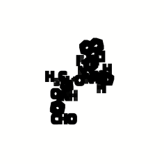 CN1C[C@H](NC(=O)c2ccc(C=O)cc2)C[C@H]1COc1nc(N2C[C@H]3CC[C@@H](C2)N3)c2cnc(-c3cccc4cccc(Cl)c34)c(F)c2n1